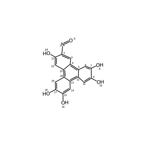 O=Nc1cc2c3cc(O)c(O)cc3c3cc(O)c(O)cc3c2cc1O